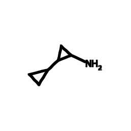 NC1CC1C1CC1